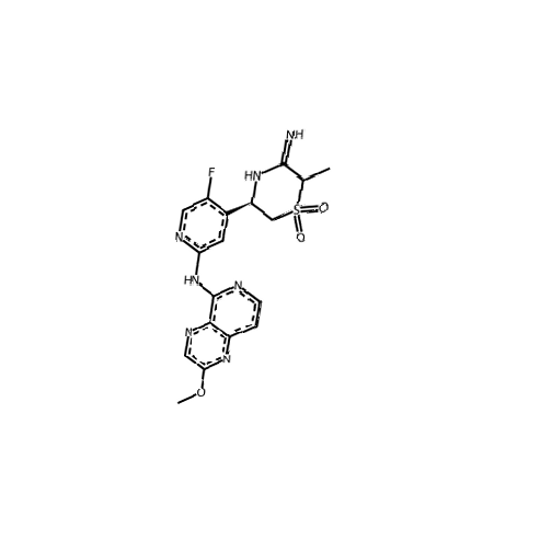 COc1cnc2c(Nc3cc([C@@H]4CS(=O)(=O)C(C)C(=N)N4)c(F)cn3)nccc2n1